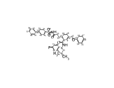 CC(C)CC(NC(=O)c1cc(COc2ccccc2)ccc1CCC(=O)NS(=O)(=O)c1ccc(-c2ccccc2)cc1)c1ccc(F)cc1